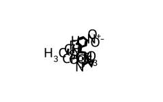 CC(C)(C)[S@@+]([O-])N[C@](C)(CS(=O)(=O)C1(C#N)CC1)c1cc([N+](=O)[O-])ccc1F